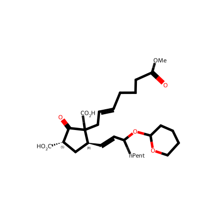 CCCCCC(C=C[C@H]1C[C@H](C(=O)O)C(=O)C1(CC=CCCCC(=O)OC)C(=O)O)OC1CCCCO1